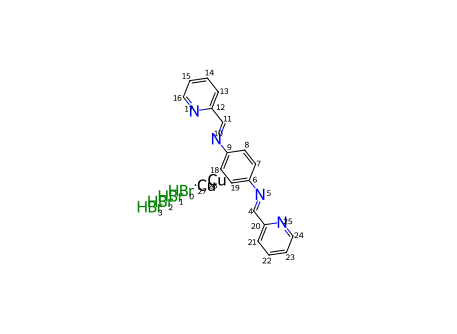 Br.Br.Br.Br.C(=Nc1ccc(N=Cc2ccccn2)cc1)c1ccccn1.[Cu].[Cu]